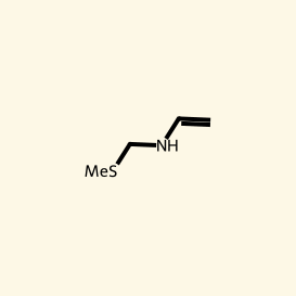 C=CNCSC